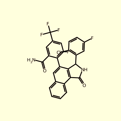 NC(=O)c1cc(C(F)(F)F)cc(F)c1-c1cc2ccccc2c2c1C(c1cc(F)ccc1Cl)NC2=O